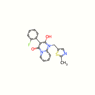 Cc1ncc(Cn2c(O)c(-c3ccccc3F)c(=O)[n+]3ccccc23)s1